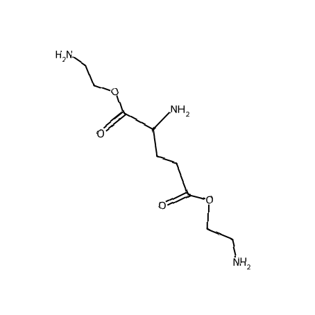 NCCOC(=O)CCC(N)C(=O)OCCN